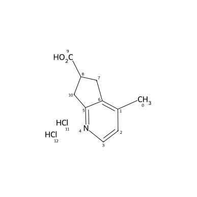 Cc1ccnc2c1CC(C(=O)O)C2.Cl.Cl